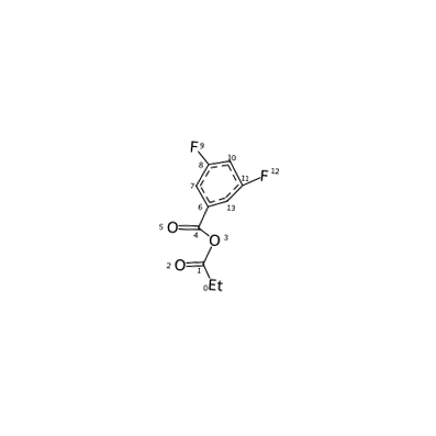 CCC(=O)OC(=O)c1cc(F)cc(F)c1